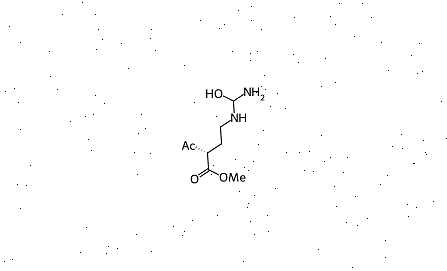 COC(=O)[C@@H](CCNC(N)O)C(C)=O